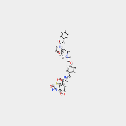 O=C(Cc1ccccc1)N1CCOC2(CCN(CCOc3ccc(CNCC(O)c4ccc(O)c5[nH]c(=O)sc45)cc3)CC2)C1